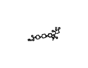 Cn1c(=O)n(C2CCC(=O)NC2=O)c2ccc(N3CCC(N4CCN(C(=O)OC(C)(C)C)CC4)CC3)cc21